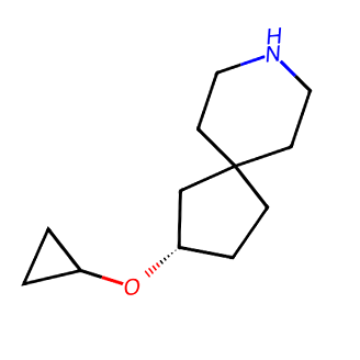 C1CC2(CCN1)CC[C@H](OC1CC1)C2